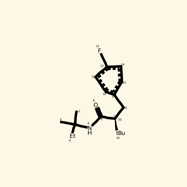 CCC(C)(C)NC(=O)[C@@H](Cc1ccc(F)cc1)C(C)(C)C